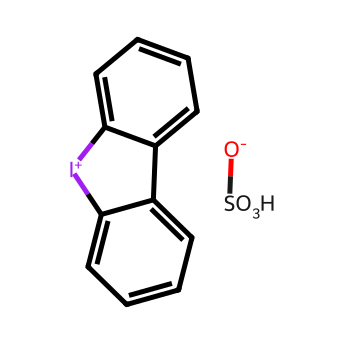 O=S(=O)([O-])O.c1ccc2c(c1)[I+]c1ccccc1-2